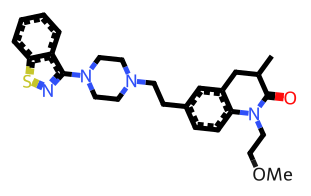 COCCN1C(=O)C(C)Cc2cc(CCN3CCN(c4nsc5ccccc45)CC3)ccc21